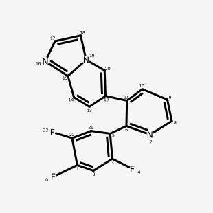 Fc1cc(F)c(-c2ncccc2-c2ccc3nccn3c2)cc1F